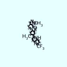 Cc1cc(N2CCc3cnn(C)c3C2=O)c(F)cc1C1C=Cc2nc(C(F)(F)F)ccc2N1